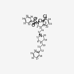 CN(CC(CCN1CCC(CCCc2ccccc2)CC1)c1cccc(Cl)c1)S(=O)(=O)c1ccccc1